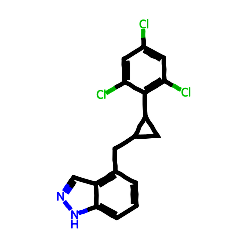 Clc1cc(Cl)c(C2CC2Cc2cccc3[nH]ncc23)c(Cl)c1